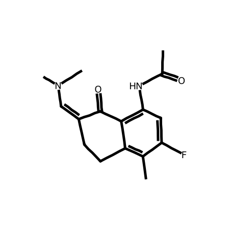 CC(=O)Nc1cc(F)c(C)c2c1C(=O)C(=CN(C)C)CC2